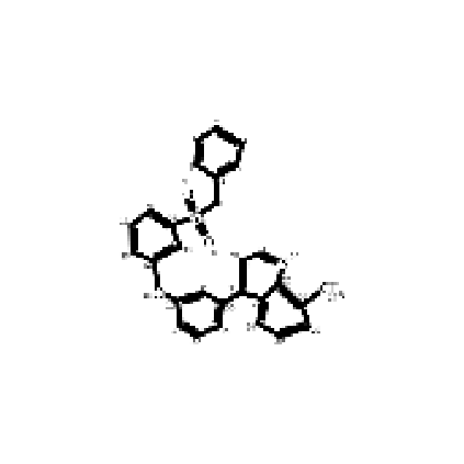 O=S(=O)(Cc1ccccc1)c1cccc(Oc2cccc(-c3ccnc4c(C(F)(F)F)cccc34)c2)c1